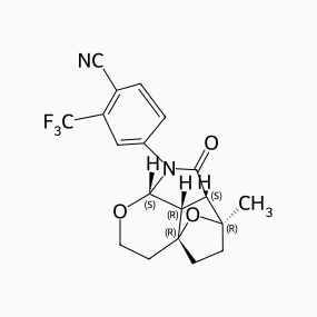 C[C@@]12CC[C@]3(CCO[C@H]4[C@@H]3[C@@H]1C(=O)N4c1ccc(C#N)c(C(F)(F)F)c1)O2